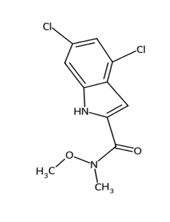 CON(C)C(=O)c1cc2c(Cl)cc(Cl)cc2[nH]1